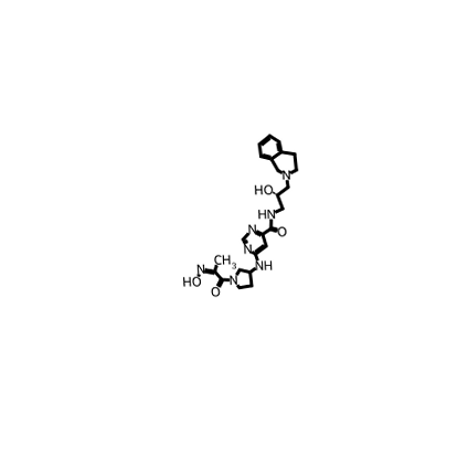 C/C(=N/O)C(=O)N1CCC(Nc2cc(C(=O)NC[C@H](O)CN3CCc4ccccc4C3)ncn2)C1